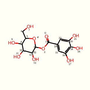 O=C(OC1OC(CO)C(O)C(O)[C@@H]1O)c1cc(O)c(O)c(O)c1